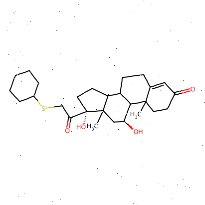 CC12CCC(=O)C=C1CCC1C2[C@@H](O)CC2(C)C1CC[C@]2(O)C(=O)CSC1CCCCC1